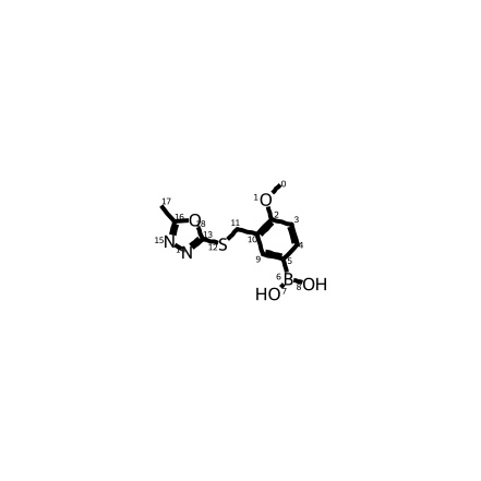 COc1ccc(B(O)O)cc1CSc1nnc(C)o1